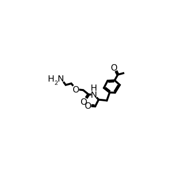 CC(=O)c1ccc(CC(C=O)NC(=O)COCCN)cc1